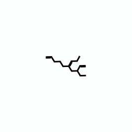 C=CCCCC(=CCC)CC(C=C)CC